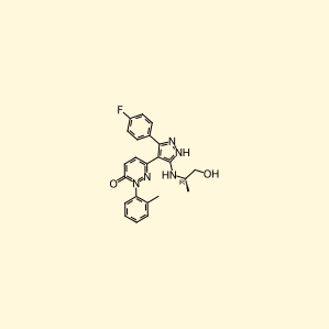 Cc1ccccc1-n1nc(-c2c(-c3ccc(F)cc3)n[nH]c2N[C@H](C)CO)ccc1=O